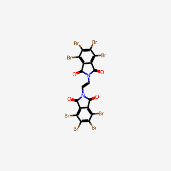 O=C1c2c(Br)c(Br)c(Br)c(Br)c2C(=O)N1C=CN1C(=O)c2c(Br)c(Br)c(Br)c(Br)c2C1=O